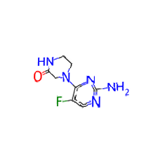 Nc1ncc(F)c(N2CCNC(=O)C2)n1